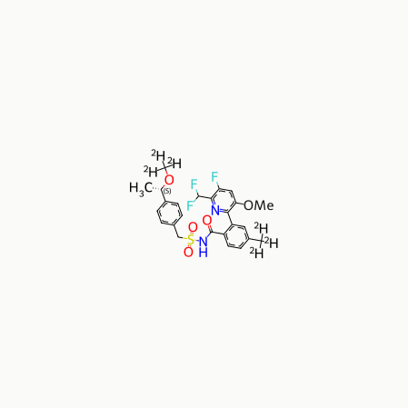 [2H]C([2H])([2H])O[C@@H](C)c1ccc(CS(=O)(=O)NC(=O)c2ccc(C([2H])([2H])[2H])cc2-c2nc(C(F)F)c(F)cc2OC)cc1